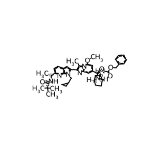 COc1cc(C(=O)N2[C@H]3CC[C@@H]2[C@H](NC(=O)OCc2ccccc2)C3)cc2nc(-c3cc4ccc([C@@H](C)N[S@@+]([O-])C(C)(C)C)nc4n3CC3CC3)c(C)n12